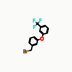 FC(F)(F)c1cccc(Oc2cccc(CBr)c2)c1